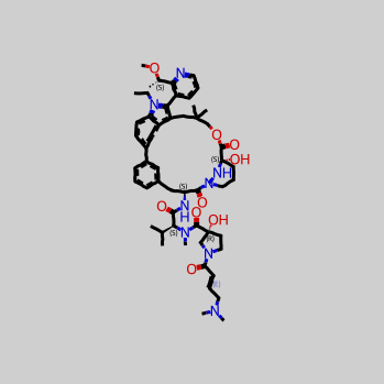 CCn1c(-c2cccnc2[C@H](C)OC)c2c3cc(ccc31)-c1cccc(c1)C[C@H](NC(=O)[C@H](C(C)C)N(C)C(=O)[C@@]1(O)CCN(C(=O)/C=C/CN(C)C)C1)C(=O)N1CCC[C@@](O)(N1)C(=O)OCC(C)(C)C2